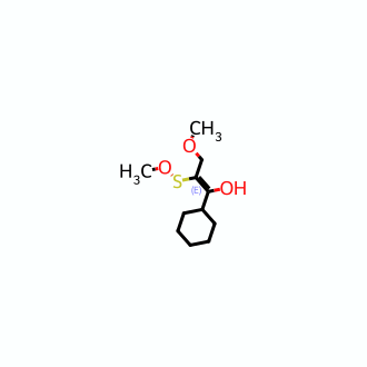 COC/C(SOC)=C(\O)C1CCCCC1